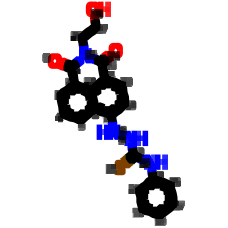 O=C1c2cccc3c(NNC(=S)Nc4ccccc4)ccc(c23)C(=O)N1CCO